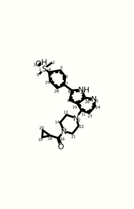 C[SH](C)(=O)c1ccc(-c2cc3c(N4CCN(C(=O)C5CC5)CC4)ccnc3[nH]2)cc1